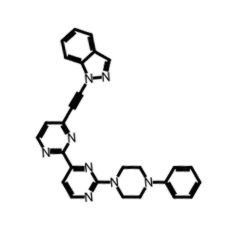 C(#Cn1ncc2ccccc21)c1ccnc(-c2ccnc(N3CCN(c4ccccc4)CC3)n2)n1